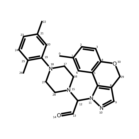 Cc1ccc2c(c1)-c1c(cnn1C(C=O)N1CCN(c3cc(C)ccc3C)CC1)CO2